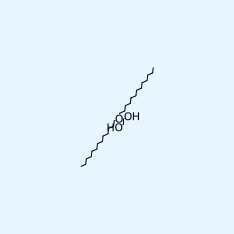 CCCCCCCCCCCCCOCCCCCCCCCCCCC.OCCO